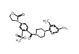 Cc1cnc(N2CCN(C(=O)c3ccc(N4CCOC4=O)cc3S(C)(=O)=O)CC2)c(C)c1